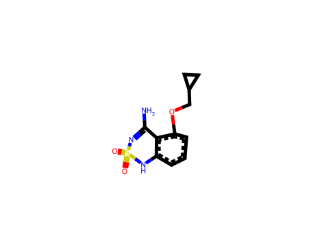 NC1=NS(=O)(=O)Nc2cccc(OCC3CC3)c21